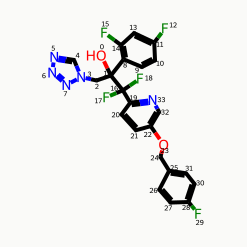 OC(Cn1cnnn1)(c1ccc(F)cc1F)C(F)(F)c1ccc(OCc2ccc(F)cc2)cn1